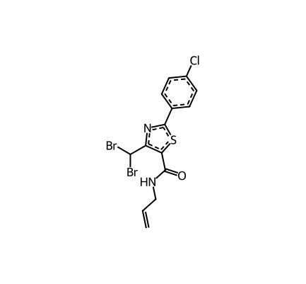 C=CCNC(=O)c1sc(-c2ccc(Cl)cc2)nc1C(Br)Br